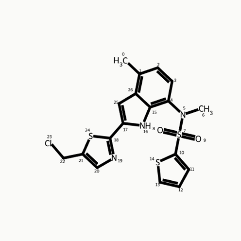 Cc1ccc(N(C)S(=O)(=O)c2cccs2)c2[nH]c(-c3ncc(CCl)s3)cc12